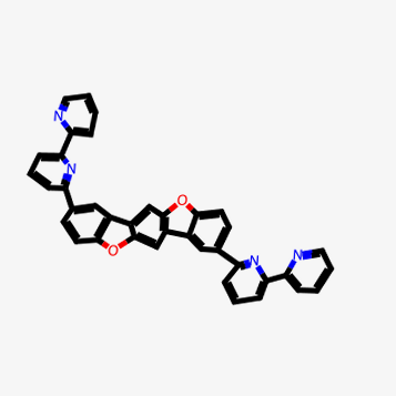 c1ccc(-c2cccc(-c3ccc4oc5cc6c(cc5c4c3)oc3ccc(-c4cccc(-c5ccccn5)n4)cc36)n2)nc1